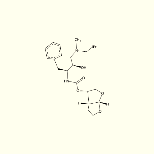 CC(C)CN(C)C[C@@H](O)[C@H](Cc1ccccc1)NC(=O)O[C@@H]1CO[C@@H]2OCC[C@@H]21